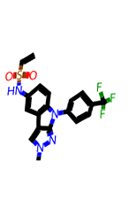 C=CS(=O)(=O)Nc1ccc2c(c1)c1cn(C)nc1n2-c1ccc(C(F)(F)F)cc1